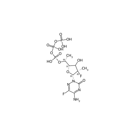 C[C@@H](OP(=O)(O)OP(=O)(O)OP(=O)(O)O)[C@H]1O[C@@H](n2nc(F)c(N)nc2=O)[C@](C)(F)C1O